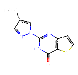 O=C(O)c1cnn(-c2nc3ccsc3c(=O)[nH]2)c1